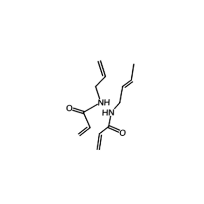 C=CC(=O)NCC=CC.C=CCNC(=O)C=C